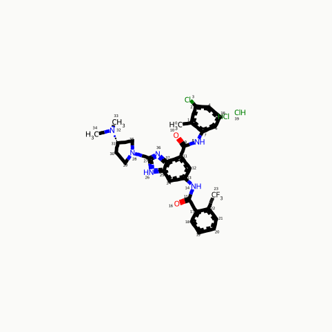 Cc1c(Cl)cccc1NC(=O)c1cc(NC(=O)c2ccccc2C(F)(F)F)cc2[nH]c(N3CC[C@H](N(C)C)C3)nc12.Cl.Cl